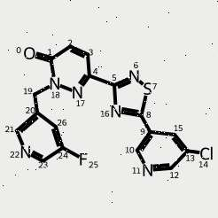 O=c1ccc(-c2nsc(-c3cncc(Cl)c3)n2)nn1Cc1cncc(F)c1